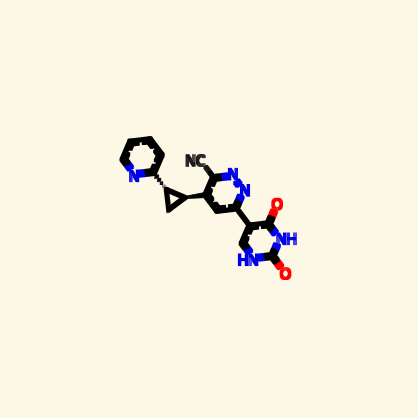 N#Cc1nnc(-c2c[nH]c(=O)[nH]c2=O)cc1[C@H]1C[C@@H]1c1ccccn1